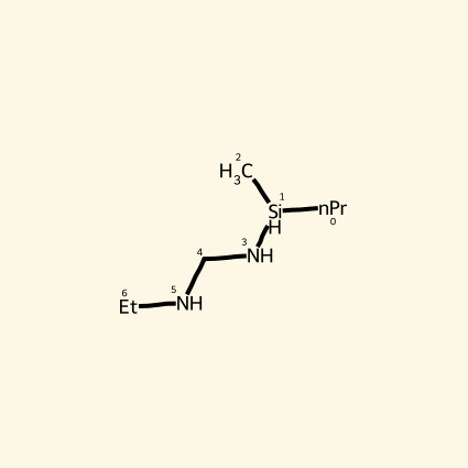 CCC[SiH](C)NCNCC